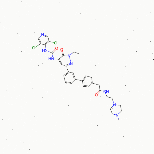 CCn1nc(-c2cccc(-c3ccc(CC(=O)NCCN4CCN(C)CC4)cc3)c2)cc(NC(=O)Nc2c(Cl)cncc2Cl)c1=O